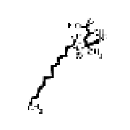 CCCCCCCCCCCC[S+]([O-])[S+]([O-])C(C)(C#N)CC(C)C(=O)O